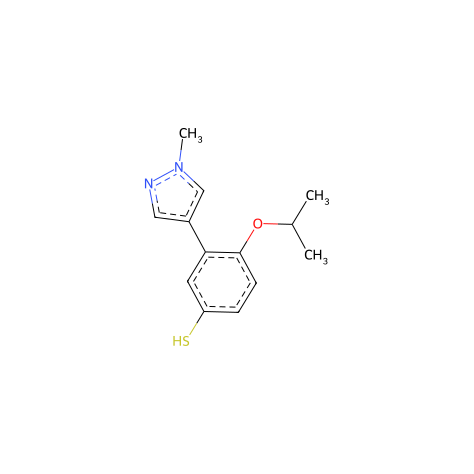 CC(C)Oc1ccc(S)cc1-c1cnn(C)c1